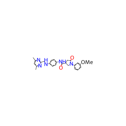 COc1cccc(N2CC(C(=O)Nc3ccc(NCc4nc(C)cc(C)n4)cc3)CC2=O)c1